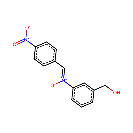 O=[N+]([O-])c1ccc(C=[N+]([O-])c2cccc(CO)c2)cc1